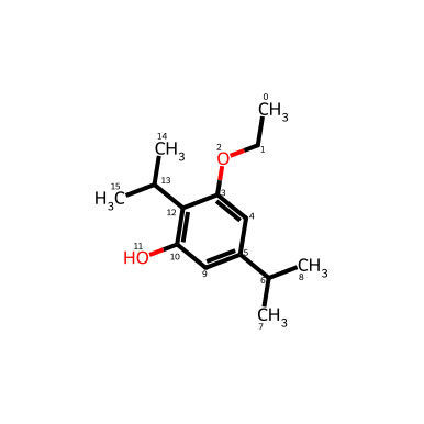 CCOc1cc(C(C)C)cc(O)c1C(C)C